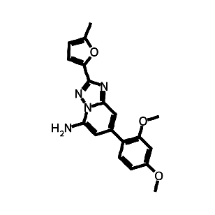 COc1ccc(-c2cc(N)n3nc(-c4ccc(C)o4)nc3c2)c(OC)c1